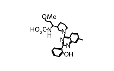 COCCC(NC(=O)O)[C@H]1CCCN(c2nc(-c3ccccc3O)nc3cc(C)ccc23)C1